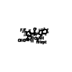 CCCCCCCC(=O)NC1c2ccccc2CC1NC(=O)c1cc(C(F)(F)F)cc(NC=O)c1O